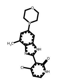 Cc1cc(N2CCOCC2)cc2[nH]c(-c3c(Cl)cc[nH]c3=O)nc12